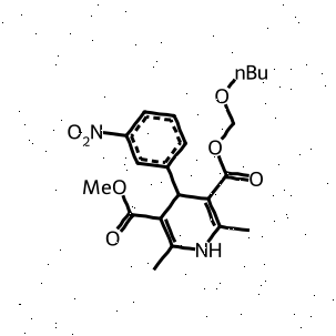 CCCCOCOC(=O)C1=C(C)NC(C)=C(C(=O)OC)C1c1cccc([N+](=O)[O-])c1